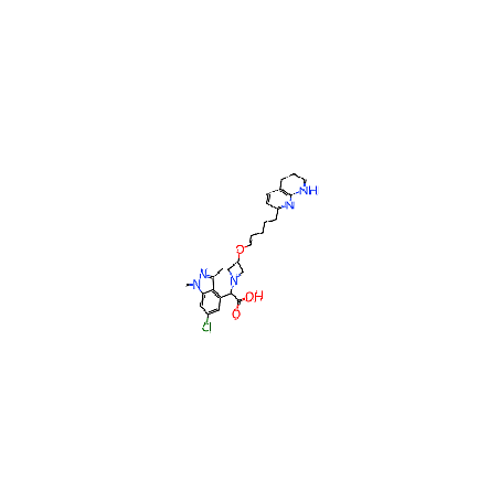 Cc1nn(C)c2cc(Cl)cc(C(C(=O)O)N3CC(OCCCCCc4ccc5c(n4)NCCC5)C3)c12